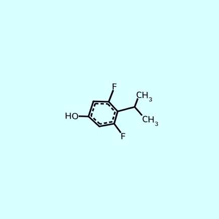 CC(C)c1c(F)cc(O)cc1F